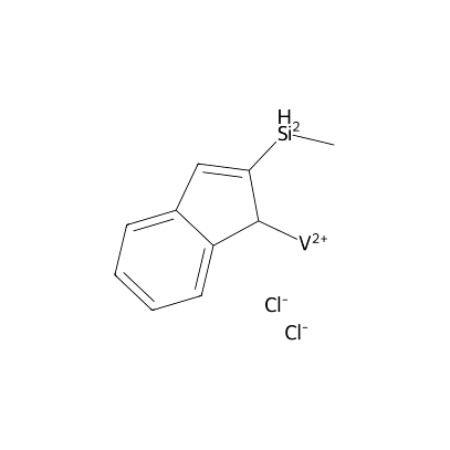 C[SiH2]C1=Cc2ccccc2[CH]1[V+2].[Cl-].[Cl-]